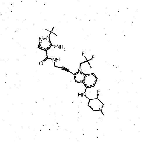 CN1CC[C@@H](Nc2cccc3c2cc(C#CCNC(=O)c2cnn(C(C)(C)C)c2N)n3CC(F)(F)F)[C@@H](F)C1